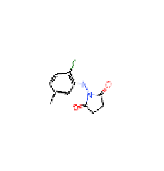 Cc1ccc(Cl)c([N]N2C(=O)CCC2=O)c1